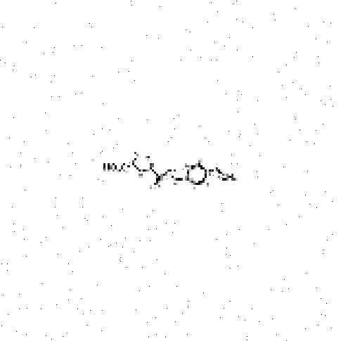 C=Cc1ccc(COC(=O)CC[C@H](N)C(=O)O)cc1